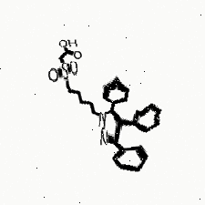 O=C(O)CS(=O)(=O)CCCCCn1nc(-c2ccccc2)c(-c2ccccc2)c1-c1ccccc1